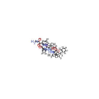 CC(C)(C)[C@H](NC(=O)N[C@@H](C(=O)OCc1ccccc1)C(C)(C)C)C(=O)N1C2CCC(C2)[C@H]1C(=O)NC(CC1CC1)C(=O)C(N)=O